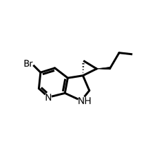 CCC[C@@H]1C[C@@]12CNc1ncc(Br)cc12